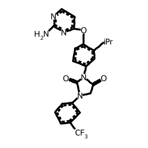 CC(C)c1cc(N2C(=O)CN(c3cccc(C(F)(F)F)c3)C2=O)ccc1Oc1ccnc(N)n1